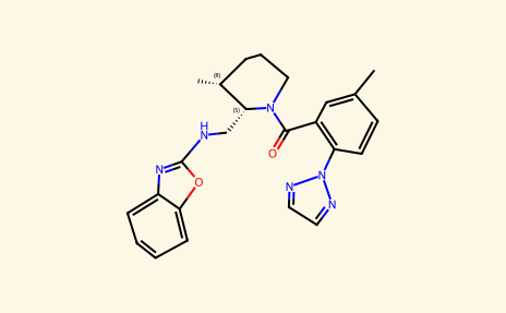 Cc1ccc(-n2nccn2)c(C(=O)N2CCC[C@@H](C)[C@H]2CNc2nc3ccccc3o2)c1